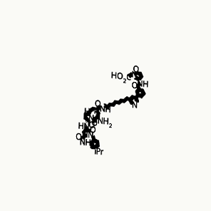 CC(C)c1ccc(CNC(=O)C(CCC(N)=O)NC(=O)[C@@H]2CC[C@@H]3CCN(C(=O)NCCCCCCCCCc4cncc(-c5cccc(C(=O)Nc6ccc(=O)n(CC(=O)O)c6)c5)c4)C[C@H](N)C(=O)N32)cc1